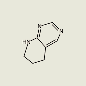 c1ncc2c(n1)NCCC2